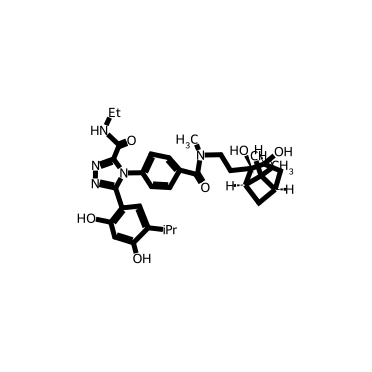 CCNC(=O)c1nnc(-c2cc(C(C)C)c(O)cc2O)n1-c1ccc(C(=O)N(C)CC[C@@]2(O)[C@@H]3C[C@H](C[C@@H]2O)C3(C)C)cc1